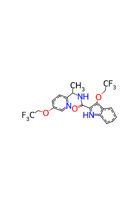 CC(NC(=O)c1[nH]c2ccccc2c1OCC(F)(F)F)c1ccc(OCC(F)(F)F)cn1